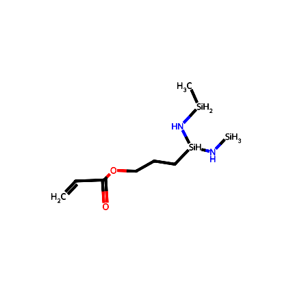 C=CC(=O)OCCC[SiH](N[SiH3])N[SiH2]C